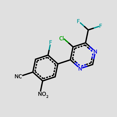 N#Cc1cc(F)c(-c2ncnc(C(F)F)c2Cl)cc1[N+](=O)[O-]